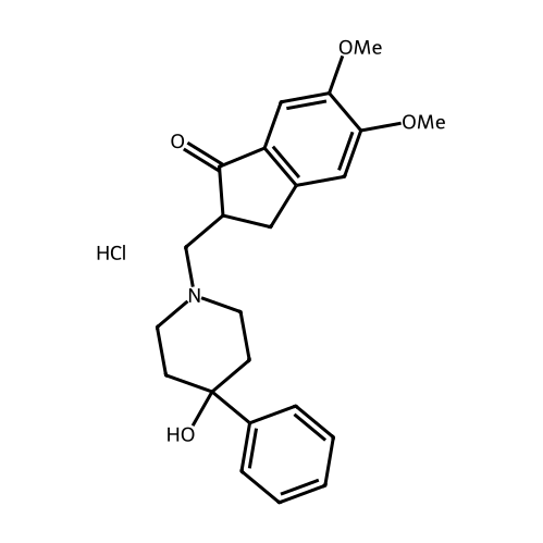 COc1cc2c(cc1OC)C(=O)C(CN1CCC(O)(c3ccccc3)CC1)C2.Cl